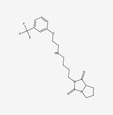 O=C1C2CCCN2C(=O)N1CCCCNCCOc1cccc(C(F)(F)F)c1